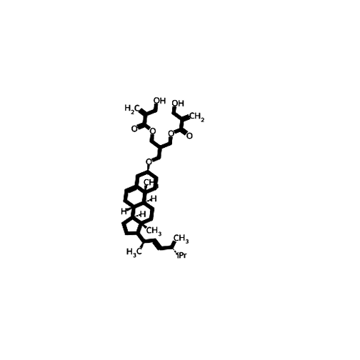 C=C(CO)C(=O)OCC(COC(=O)C(=C)CO)CO[C@H]1CC[C@@]2(C)C(=CC[C@@H]3[C@@H]2CC[C@]2(C)C([C@H](C)/C=C/[C@H](C)C(C)C)CC[C@@H]32)C1